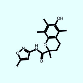 Cc1cc(NC(=O)C2(C)CCc3c(C)c(O)c(C)c(C)c3O2)no1